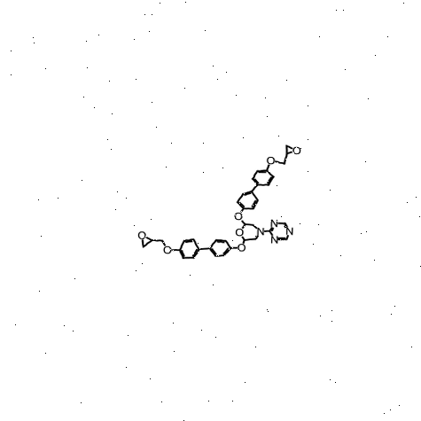 c1ncnc(N2CC(Oc3ccc(-c4ccc(OCC5CO5)cc4)cc3)OC(Oc3ccc(-c4ccc(OCC5CO5)cc4)cc3)C2)n1